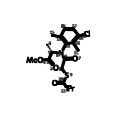 COC(=O)[C@H](C)N(C(=O)CSC(=O)C(C)C)c1c(C)ccc(Cl)c1C